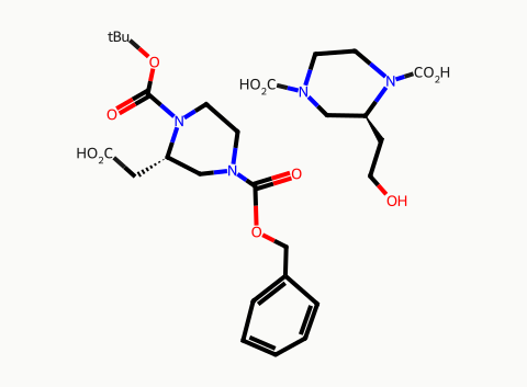 CC(C)(C)OC(=O)N1CCN(C(=O)OCc2ccccc2)C[C@@H]1CC(=O)O.O=C(O)N1CCN(C(=O)O)[C@@H](CCO)C1